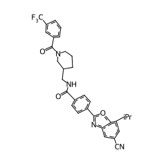 CC(C)c1cc(C#N)cc2nc(-c3ccc(C(=O)NCC4CCCN(C(=O)c5cccc(C(F)(F)F)c5)C4)cc3)oc12